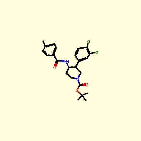 Cc1ccc(C(=O)N[C@@H]2CCN(C(=O)OC(C)(C)C)CC2c2ccc(Cl)c(Cl)c2)cc1